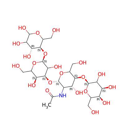 CC(=O)NC1[C@H](O[C@@H]2C(O)[C@H](O[C@@H]3C(CO)OC(O)C(O)[C@H]3O)OC(CO)[C@@H]2O)OC(CO)[C@@H](O[C@@H]2OC(CO)[C@H](O)[C@H](O)C2O)[C@@H]1O